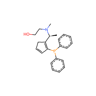 C[C@@H](C1=C(P(c2ccccc2)c2ccccc2)C=CC1)N(C)CCO